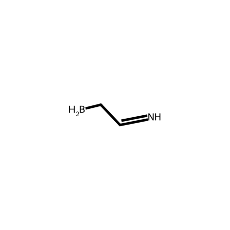 BCC=N